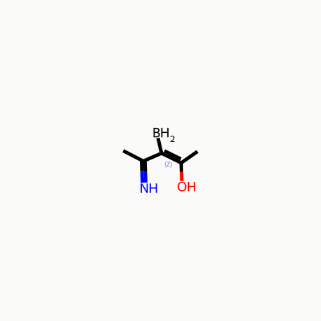 B/C(C(C)=N)=C(\C)O